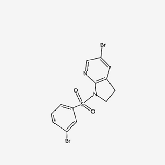 O=S(=O)(c1cccc(Br)c1)N1CCc2cc(Br)cnc21